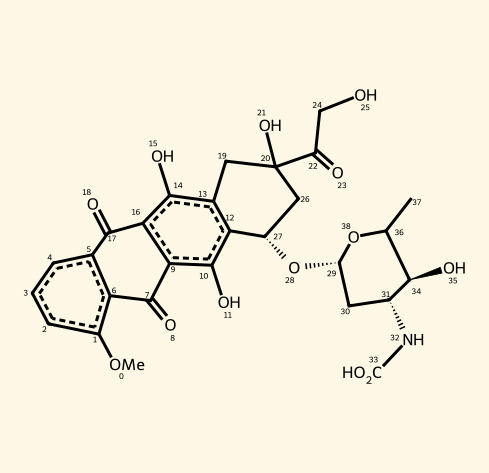 COc1cccc2c1C(=O)c1c(O)c3c(c(O)c1C2=O)CC(O)(C(=O)CO)C[C@@H]3O[C@H]1C[C@@H](NC(=O)O)[C@H](O)C(C)O1